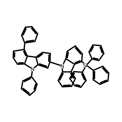 c1ccc(-c2cccc3c2c2ccc(-n4c5ccccc5c5c([Si](c6ccccc6)(c6ccccc6)c6ccccc6)cccc54)cc2n3-c2ccccc2)cc1